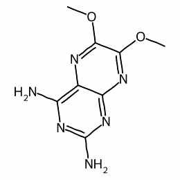 COc1nc2nc(N)nc(N)c2nc1OC